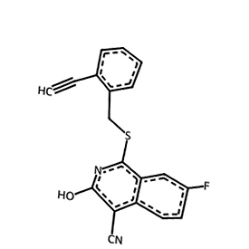 C#Cc1ccccc1CSc1nc(O)c(C#N)c2ccc(F)cc12